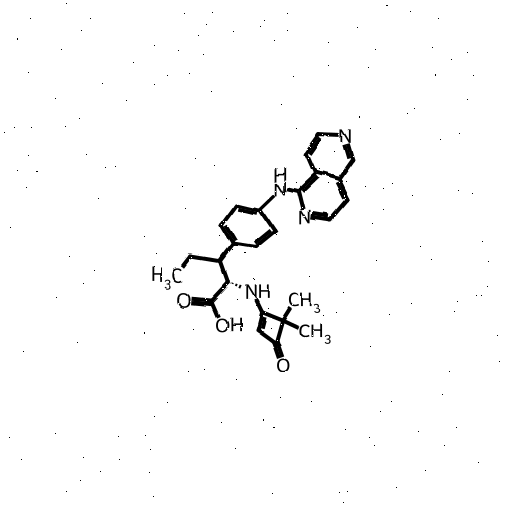 CCC(c1ccc(Nc2nccc3cnccc23)cc1)[C@H](NC1=CC(=O)C1(C)C)C(=O)O